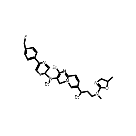 CCC1=C(N(CC)C2C=NC(c3ccc(CF)cc3)=CS2)CN2C=C(C(CC)CCN(C)C3=NCC(C)O3)C=CC2=N1